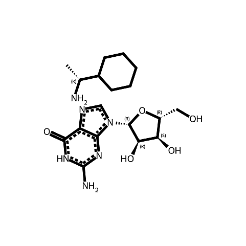 C[C@@H](N)C1CCCCC1.Nc1nc2c(ncn2[C@@H]2O[C@H](CO)[C@@H](O)[C@H]2O)c(=O)[nH]1